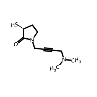 CN(C)CC#CCN1CC[C@@H](S)C1=O